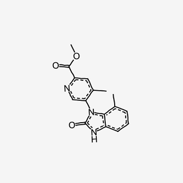 COC(=O)c1cc(C)c(-n2c(=O)[nH]c3cccc(C)c32)cn1